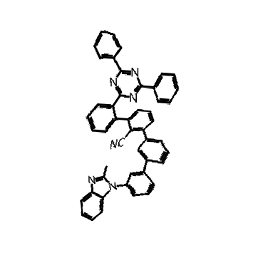 Cc1nc2ccccc2n1-c1cccc(-c2cccc(-c3cccc(-c4ccccc4-c4nc(-c5ccccc5)nc(-c5ccccc5)n4)c3C#N)c2)c1